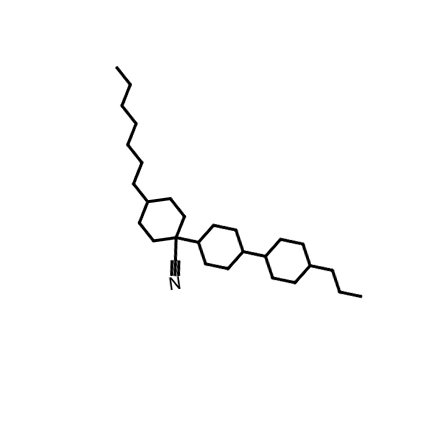 CCCCCCCC1CCC(C#N)(C2CCC(C3CCC(CCC)CC3)CC2)CC1